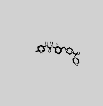 Cc1ccc(NC(=O)Nc2cccc(CN3CCN(C(=O)N4CCOCC4)CC3)c2F)cn1